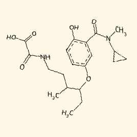 CCC(Oc1ccc(O)c(C(=O)N(C)C2CC2)c1)C(C)CCNC(=O)C(=O)O